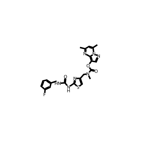 Cc1cc(C)n2ncc(OC(=O)N(C)Cc3csc(NC(=O)NCc4cccc(F)c4)n3)c2n1